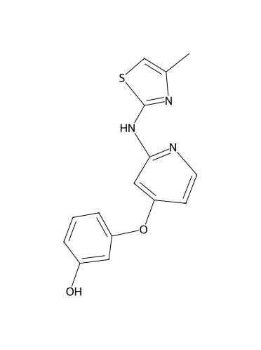 Cc1csc(Nc2cc(Oc3cccc(O)c3)ccn2)n1